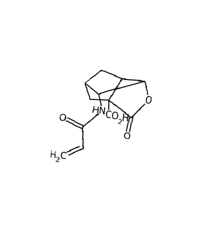 C=CC(=O)NC1C2CC3C1OC(=O)C3(C(=O)O)C2